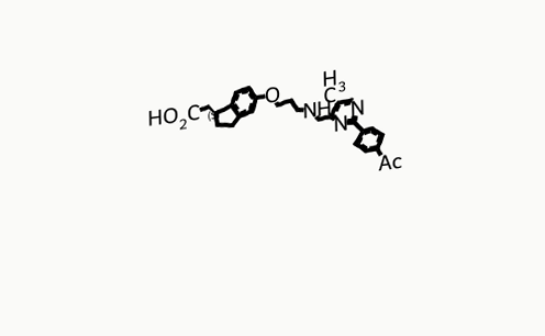 CC(=O)c1ccc(-c2ncc(C)c(CNCCCOc3ccc4c(c3)CC[C@H]4CC(=O)O)n2)cc1